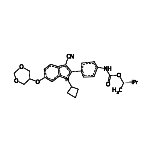 CC(C)[C@H](C)OC(=O)Nc1ccc(-c2c(C#N)c3ccc(OC4COCOC4)cc3n2C2CCC2)cc1